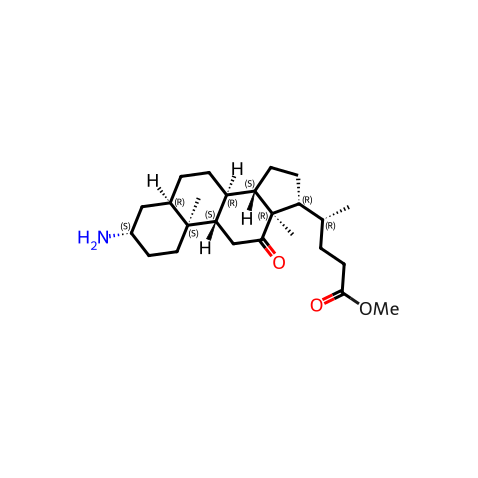 COC(=O)CC[C@@H](C)[C@H]1CC[C@H]2[C@@H]3CC[C@@H]4C[C@@H](N)CC[C@]4(C)[C@H]3CC(=O)[C@]12C